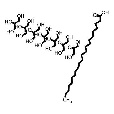 CCCCCCCCCCCCCCCCCCCCCC(=O)O.OCC(O)CO.OCC(O)CO.OCC(O)CO.OCC(O)CO.OCC(O)CO.OCC(O)CO.OCC(O)CO